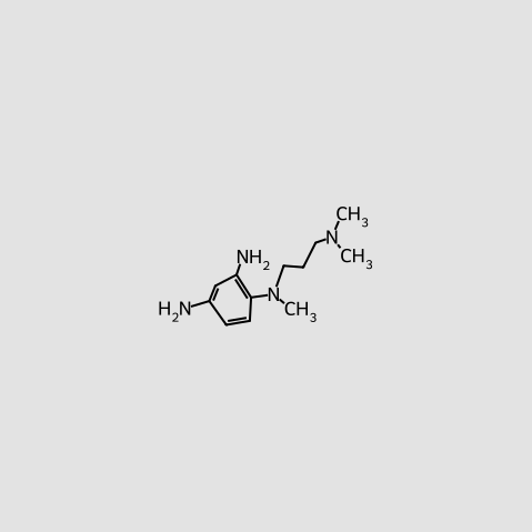 CN(C)CCCN(C)c1ccc(N)cc1N